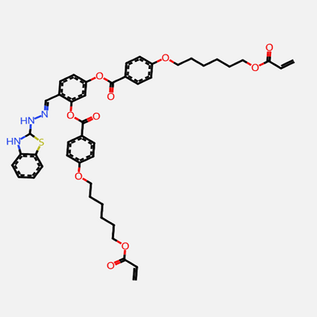 C=CC(=O)OCCCCCCOc1ccc(C(=O)Oc2ccc(/C=N/NC3Nc4ccccc4S3)c(OC(=O)c3ccc(OCCCCCCOC(=O)C=C)cc3)c2)cc1